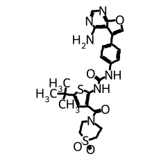 CC(C)(C)c1cc(C(=O)N2CCS(=O)(=O)CC2)c(NC(=O)Nc2ccc(-c3coc4ncnc(N)c34)cc2)s1